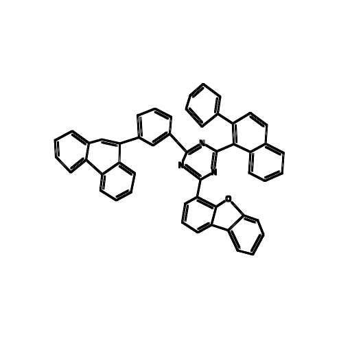 c1ccc(-c2ccc3ccccc3c2-c2nc(-c3cccc(-c4cc5ccccc5c5ccccc45)c3)nc(-c3cccc4c3oc3ccccc34)n2)cc1